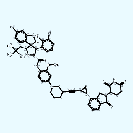 COc1cc(N2CCCC(C#C[C@H]3C[C@@H]3c3cccc4c3CN(C3CCC(=O)NC3=O)C4=O)C2)ccc1NC(=O)[C@@H]1N[C@@H](CC(C)(C)C)[C@@]2(CNc3cc(Cl)ccc32)[C@H]1c1cccc(Cl)c1F